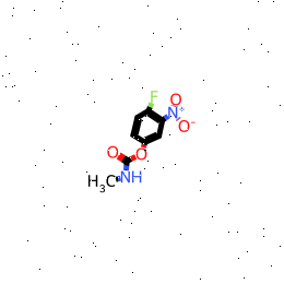 CNC(=O)Oc1ccc(F)c([N+](=O)[O-])c1